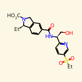 CC[C@@H]1c2ccc(C(=O)N[C@@H](CO)c3ccc(S(=O)(=O)CC)cn3)cc2CN1C(=O)O